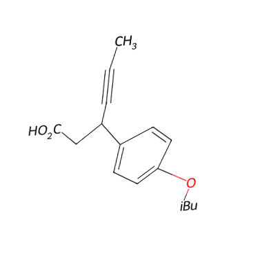 CC#CC(CC(=O)O)c1ccc(OC(C)CC)cc1